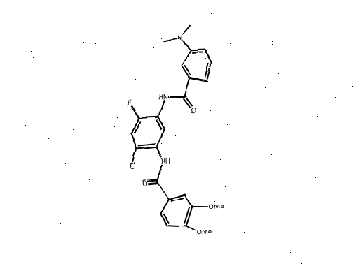 COc1ccc(C(=O)Nc2cc(NC(=O)c3cccc(N(C)C)c3)c(F)cc2Cl)cc1OC